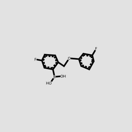 OB(O)c1cc(F)ccc1COc1cccc(F)c1